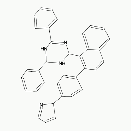 C1=CC(c2ccc(-c3ccc4ccccc4c3C3N=C(c4ccccc4)NC(c4ccccc4)N3)cc2)N=C1